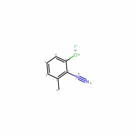 Cc1cccc(Cl)c1[N+]#N.[F-]